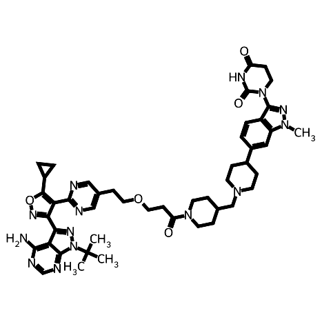 Cn1nc(N2CCC(=O)NC2=O)c2ccc(C3CCN(CC4CCN(C(=O)CCOCCc5cnc(-c6c(-c7nn(C(C)(C)C)c8ncnc(N)c78)noc6C6CC6)nc5)CC4)CC3)cc21